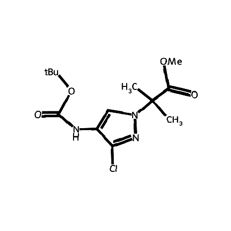 COC(=O)C(C)(C)n1cc(NC(=O)OC(C)(C)C)c(Cl)n1